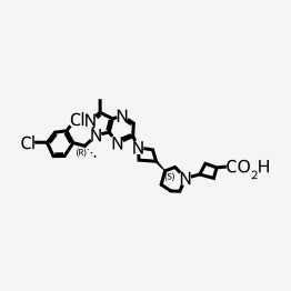 Cc1nn([C@H](C)c2ccc(Cl)cc2Cl)c2nc(N3CC([C@@H]4CCCN(C5CC(C(=O)O)C5)C4)C3)cnc12